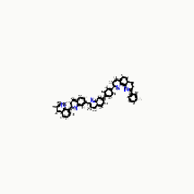 c1ccc(-c2ccc3ccc4ccc(-c5ccc(-c6ccc7ccc(-c8ccc9ccc(-c%10cccc%11cccnc%10%11)nc9c8)nc7c6)cc5)nc4c3n2)cc1